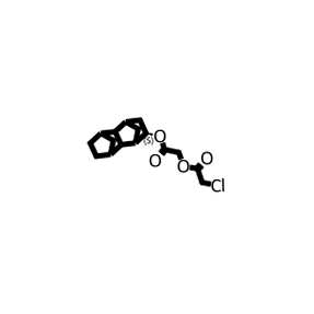 O=C(CCl)OCC(=O)O[C@H]1CC2CC1C1C3CCC(C3)C21